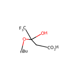 CCCCOC(O)(CC(=O)O)C(F)(F)F